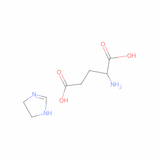 C1=NCCN1.NC(CCC(=O)O)C(=O)O